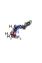 C=C(C)C(OC(C)C)C(=O)Nc1ccc2c(c1)nc(CN1CCC(c3cccc(OCc4ccc(Cl)cc4F)n3)CC1)n2C